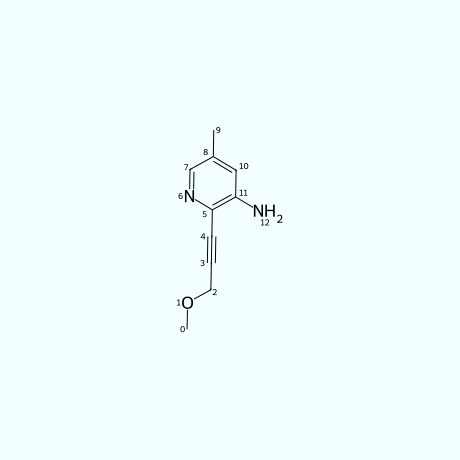 COCC#Cc1ncc(C)cc1N